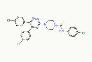 S=C(Nc1ccc(Cl)cc1)N1CCN(c2nnc(-c3ccc(Cl)cc3)c(-c3ccc(Cl)cc3)n2)CC1